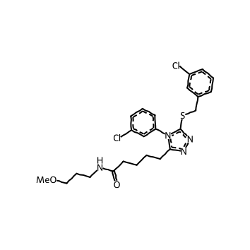 COCCCNC(=O)CCCCc1nnc(SCc2cccc(Cl)c2)n1-c1cccc(Cl)c1